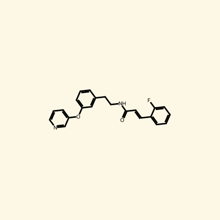 O=C(/C=C/c1ccccc1F)NCCc1cccc(Oc2cccnc2)c1